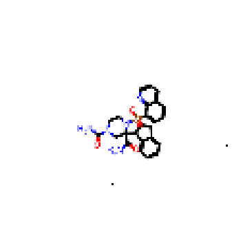 NC(=O)N1CCN(S(=O)(=O)c2cccc3cccnc23)C(C(N)=O)(C2CCc3ccccc32)C1